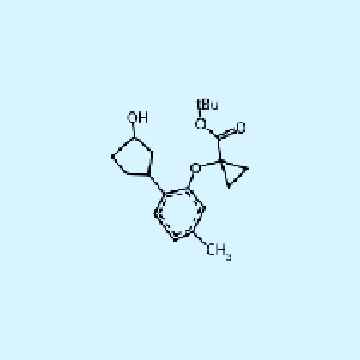 Cc1ccc(C2CCC(O)C2)c(OC2(C(=O)OC(C)(C)C)CC2)c1